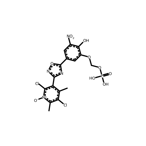 Cc1c(Cl)c(C)[n+]([O-])c(Cl)c1-c1noc(-c2cc(OCOP(=O)(O)O)c(O)c([N+](=O)[O-])c2)n1